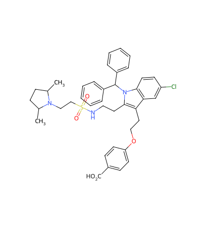 CC1CCC(C)N1CCS(=O)(=O)NCCc1c(CCOc2ccc(C(=O)O)cc2)c2cc(Cl)ccc2n1C(c1ccccc1)c1ccccc1